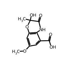 COc1cc2c(c(C(=O)O)c1)NC(=O)C(C)(O)O2